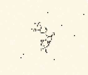 Cc1ccc(N2C(=O)CN(SC(F)(Cl)Cl)C2=O)cc1Cl